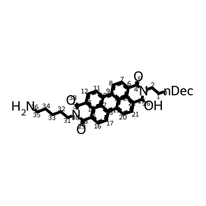 CCCCCCCCCCCCN1C(=O)c2ccc3c4ccc5c6c(ccc(c7ccc(c2c37)C1O)c64)C(=O)N(CCCCCN)C5=O